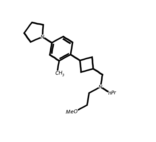 CCCN(CCOC)CC1CC(c2ccc(N3CCCC3)cc2C)C1